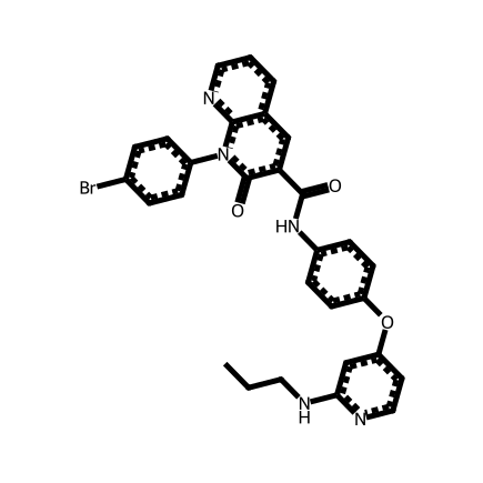 CCCNc1cc(Oc2ccc(NC(=O)c3cc4cccnc4n(-c4ccc(Br)cc4)c3=O)cc2)ccn1